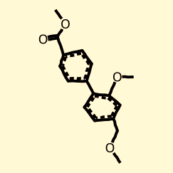 COCc1ccc(-c2ccc(C(=O)OC)cc2)c(OC)c1